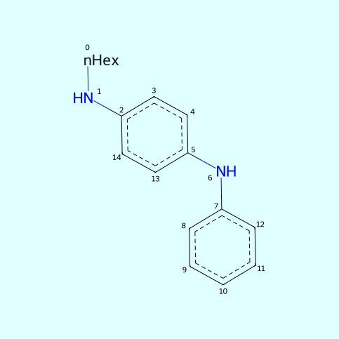 CCCCCCNc1ccc(Nc2ccccc2)cc1